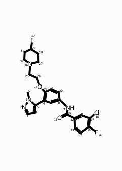 Cn1nccc1-c1cc(NC(=O)c2ccc(F)c(Cl)c2)ccc1OCCN1CCC(F)CC1